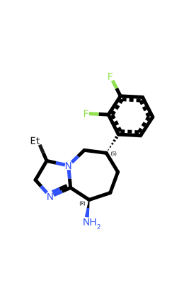 CCC1CN=C2[C@H](N)CC[C@@H](c3cccc(F)c3F)CN21